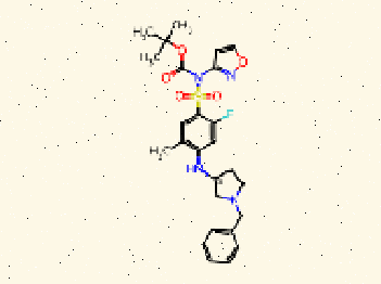 Cc1cc(S(=O)(=O)N(C(=O)OC(C)(C)C)c2ccon2)c(F)cc1N[C@H]1CCN(Cc2ccccc2)C1